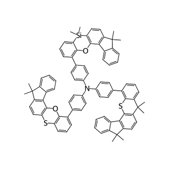 CC1(C)c2cccc(-c3ccc(N(c4ccc(-c5cccc6c5Oc5c(ccc7c5-c5ccccc5C7(C)C)S6)cc4)c4ccc(-c5cccc6c5Oc5c(ccc7c5-c5ccccc5C7(C)C)[Si]6(C)C)cc4)cc3)c2Sc2c1ccc1c2-c2ccccc2C1(C)C